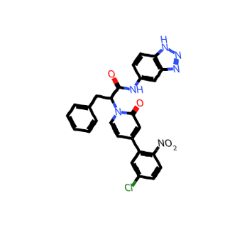 O=C(Nc1ccc2[nH]nnc2c1)C(Cc1ccccc1)n1ccc(-c2cc(Cl)ccc2[N+](=O)[O-])cc1=O